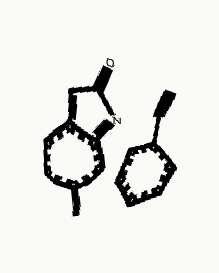 C#Cc1ccccc1.Cc1ccc2c(c1)=NC(=O)C=2